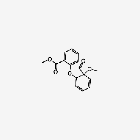 COC(=O)c1ccccc1OC1C=CC=CC1(C=O)OC